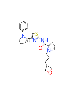 O=C(Nc1nc([C@H]2CCCN2c2ccccc2)cs1)c1cccn1CCCC1COC1